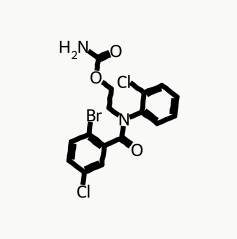 NC(=O)OCCN(C(=O)c1cc(Cl)ccc1Br)c1ccccc1Cl